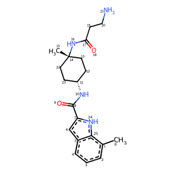 Cc1cccc2cc(C(=O)N[C@H]3CC[C@@](C)(NC(=O)CCN)CC3)[nH]c12